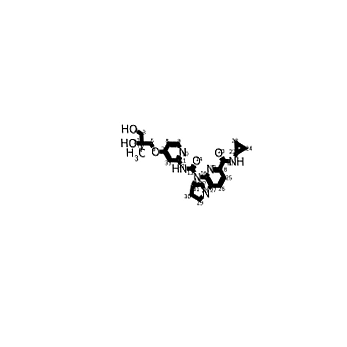 C[C@](O)(CO)COc1ccnc(NC(=O)N2c3nc(C(=O)NC4CC4)ccc3N3CCC2C3)c1